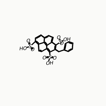 O=S(=O)(O)c1ccc2ccc3c(S(=O)(=O)O)c(Cc4ccccc4)c(S(=O)(=O)O)c4ccc1c2c34